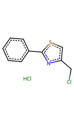 Cl.ClCc1csc(-c2ccccc2)n1